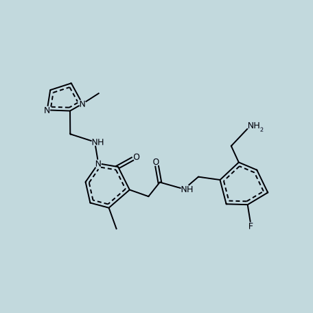 Cc1ccn(NCc2nccn2C)c(=O)c1CC(=O)NCc1cc(F)ccc1CN